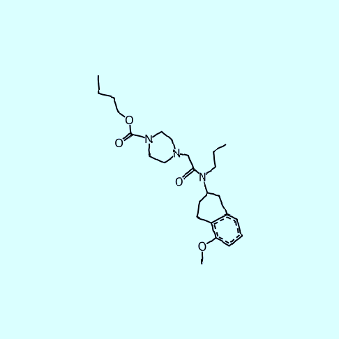 CCCCOC(=O)N1CCN(CC(=O)N(CCC)C2CCc3c(cccc3OC)C2)CC1